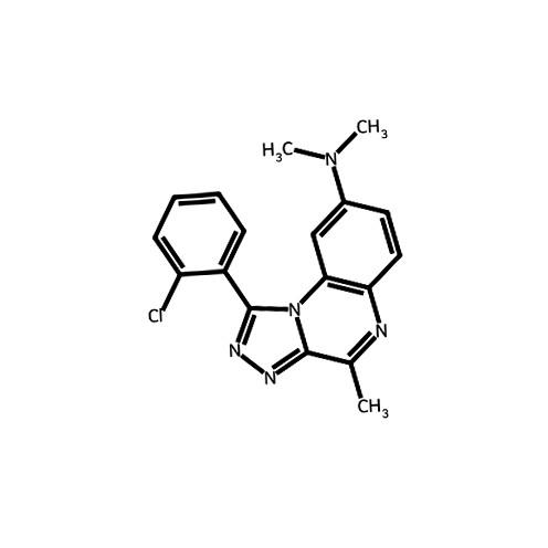 Cc1nc2ccc(N(C)C)cc2n2c(-c3ccccc3Cl)nnc12